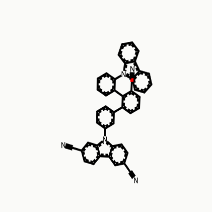 N#Cc1ccc2c(c1)c1ccc(C#N)cc1n2-c1cccc(-c2cccc(C#N)c2-c2ccccc2-n2c3ccccc3c3ccccc32)c1